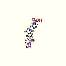 O=C1CCC(c2ccc3c(c2)CCCN3CC2CCN(C(=O)O)CC2)C(=O)N1